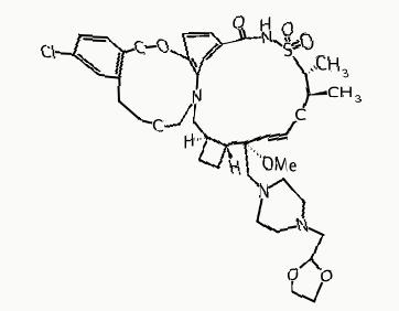 CO[C@@]1(CN2CCN(CC3OCCO3)CC2)/C=C/C[C@H](C)[C@@H](C)S(=O)(=O)NC(=O)c2ccc3c(c2)N(CCCCc2cc(Cl)ccc2CO3)C[C@@H]2CC[C@H]21